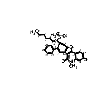 CCCCCCN(c1cc2oc(-c3ccc(F)cc3)c(C(=O)NC)c2cc1-c1ccccc1)[S+](C)[O-]